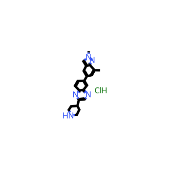 Cc1cc(-c2ccc3nc(C4CCNCC4)cnc3c2)cc2cn(C)nc12.Cl